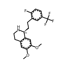 COc1cc2c(cc1OC)[C@H](CCc1cc(C(F)(F)F)ccc1F)NCC2